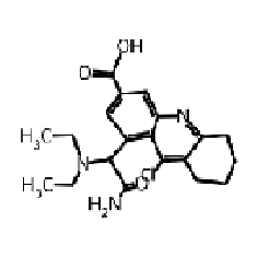 CCN(CC)C(C(N)=O)c1cc(C(=O)O)cc2nc3c(c(Cl)c12)CCCC3